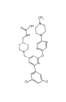 CN1CCN(c2cnc(Oc3cc(CN4CCC(CNC(=O)O)CC4)cc(-c4cc(Cl)cc(Cl)c4)n3)cn2)CC1